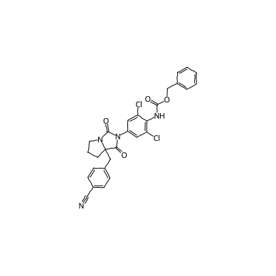 N#Cc1ccc(CC23CCCN2C(=O)N(c2cc(Cl)c(NC(=O)OCc4ccccc4)c(Cl)c2)C3=O)cc1